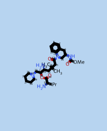 COC(=O)NC1Cc2ccccc2N(C(=O)CC(C)(C)C[C@H](N)C(CN2CCCCC2)OC(=O)C(N)C(C)C)C1